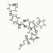 COCCS(=O)(=O)n1cncc1Cn1c(=O)c(C2=C(C)CCC2)cc2cnc(Nc3ccc(OC4CCNCC4)cc3)nc21